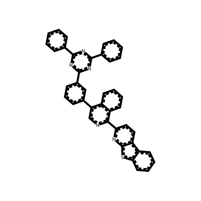 c1ccc(-c2nc(-c3ccccc3)nc(-c3cccc(-c4cnc(-c5ccc6c(n5)sc5ccccc56)c5ccccc45)c3)n2)cc1